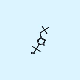 CC(C)(C)Cn1cc(C(C)(C)O)nn1